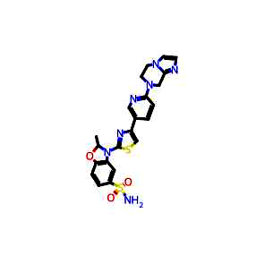 CC1Oc2ccc(S(N)(=O)=O)cc2N1c1nc(-c2ccc(N3CCn4ccnc4C3)nc2)cs1